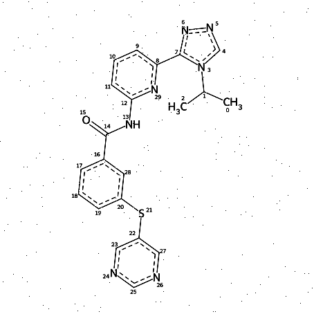 CC(C)n1cnnc1-c1cccc(NC(=O)c2cccc(Sc3cncnc3)c2)n1